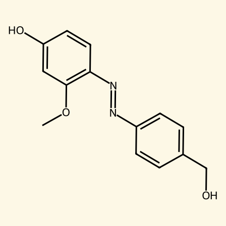 COc1cc(O)ccc1N=Nc1ccc(CO)cc1